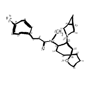 CN(C(=O)CCc1ccc(C(F)(F)F)cc1)C1CCC2(CCCO2)CC1N1CC2CC2C1